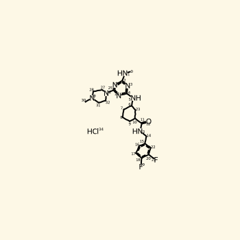 CNc1nc(NC2CCCC(C(=O)NCc3ccc(F)c(F)c3)C2)nc(N2CCN(C)CC2)n1.Cl